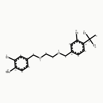 CCc1cc(COCCOCc2ccc(C(C)(CC)CC)c(CC)c2)ccc1C(C)(C)C